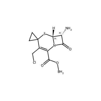 BOC(=O)C1=C(CCl)C2(CC2)S[C@@H]2[C@H](N)C(=O)N12